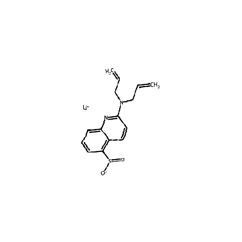 C=CCN(CC=C)c1ccc2c(S(=O)[O-])cccc2n1.[Li+]